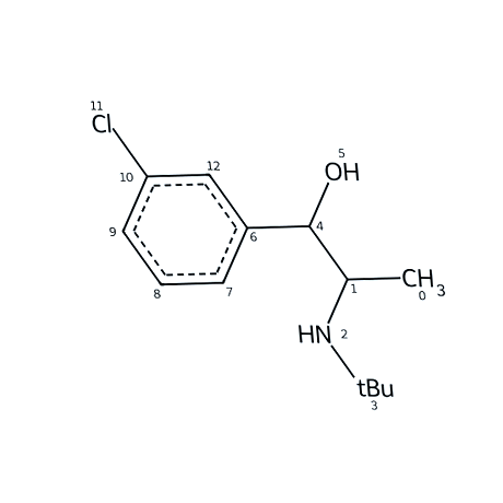 CC(NC(C)(C)C)C(O)c1cccc(Cl)c1